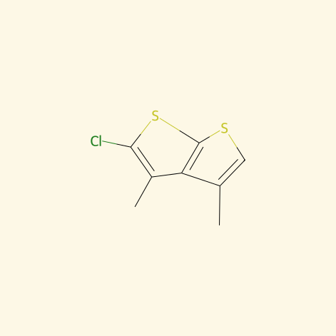 Cc1csc2sc(Cl)c(C)c12